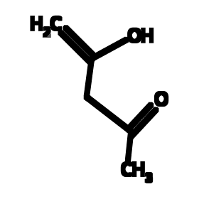 C=C(O)CC(C)=O